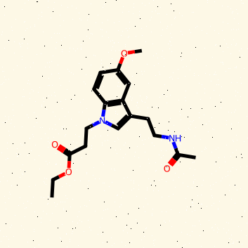 CCOC(=O)CCn1cc(CCNC(C)=O)c2cc(OC)ccc21